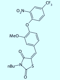 CCCCN1C(=O)SC(=Cc2ccc(Oc3ccc(C(F)(F)F)cc3[N+](=O)[O-])c(OC)c2)C1=O